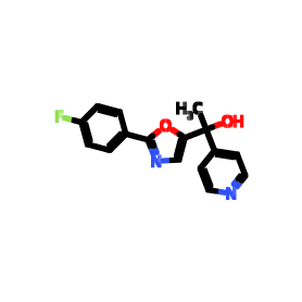 CC(O)(c1ccncc1)c1cnc(-c2ccc(F)cc2)o1